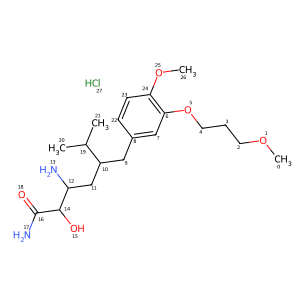 COCCCOc1cc(CC(CC(N)C(O)C(N)=O)C(C)C)ccc1OC.Cl